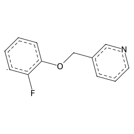 Fc1[c]cccc1OCc1cccnc1